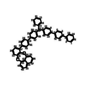 c1ccc(-c2ccc(-c3ccc(N(c4ccccc4)c4ccc(-c5ccc(-c6cccc7c6Oc6cccc8cccc(c68)O7)cc5)cc4)cc3)cc2)cc1